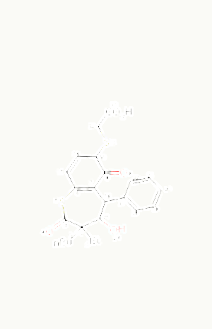 CCCCC1(CC)C(=O)SC2=C(C(=O)C(SCC(=O)O)C=C2)C(c2ccccc2)C1O